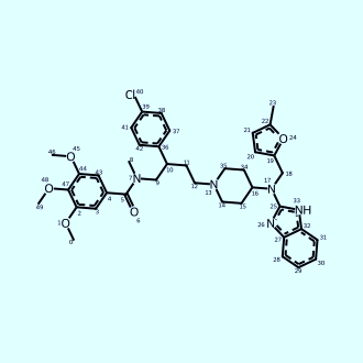 COc1cc(C(=O)N(C)CC(CCN2CCC(N(Cc3ccc(C)o3)c3nc4ccccc4[nH]3)CC2)c2ccc(Cl)cc2)cc(OC)c1OC